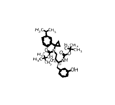 CC(C)c1cccc(C2(N(C[C@@H](O)[C@H](Cc3cccc(O)c3)NC(=O)OC(C)(C)C)C(=O)OC(C)(C)C)CC2)c1